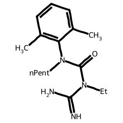 CCCCCN(C(=O)N(CC)C(=N)N)c1c(C)cccc1C